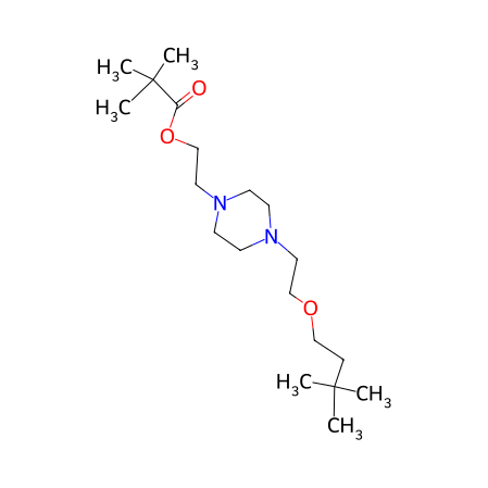 CC(C)(C)CCOCCN1CCN(CCOC(=O)C(C)(C)C)CC1